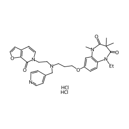 CCN1C(=O)C(C)(C)C(=O)N(C)c2cc(OCCCN(CCn3ccc4ccoc4c3=O)Cc3ccncc3)ccc21.Cl.Cl